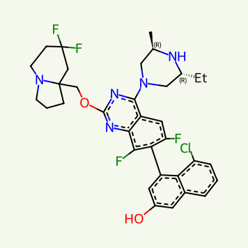 CC[C@@H]1CN(c2nc(OCC34CCCN3CCC(F)(F)C4)nc3c(F)c(-c4cc(O)cc5cccc(Cl)c45)c(F)cc23)C[C@@H](C)N1